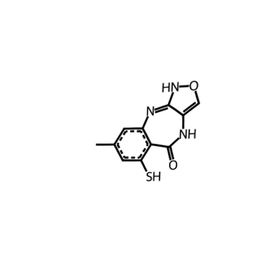 Cc1cc(S)c2c(c1)N=C1NOC=C1NC2=O